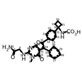 Cn1c(NCC(N)=O)nc2oc(-c3ccc(C4(NC(=O)O)CCC4)cc3)c(-c3ccccc3)c2c1=O